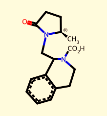 C[C@@H]1CCC(=O)N1CC1c2ccccc2CCN1C(=O)O